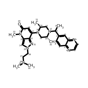 CC(c1ccc2nccnc2c1)N1C[C@H](C)N(c2cc(=O)n(C)c3cn(CCN(C)C)nc23)C[C@H]1C